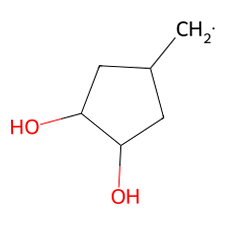 [CH2]C1CC(O)C(O)C1